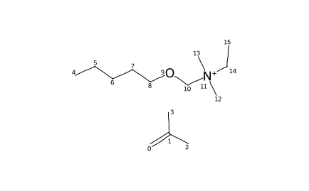 C=C(C)C.CCCCCOC[N+](C)(C)CC